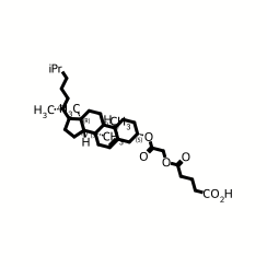 CC(C)CCC[C@@H](C)C1CC[C@H]2[C@]3(C)CC=C4C[C@@H](OC(=O)COC(=O)CCCC(=O)O)CC[C@]4(C)[C@H]3CC[C@]12C